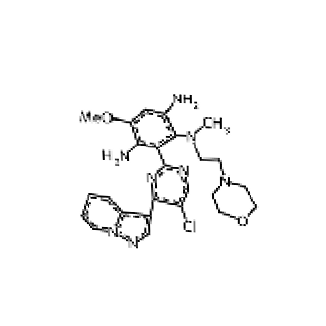 COc1cc(N)c(N(C)CCN2CCOCC2)c(-c2ncc(Cl)c(-c3cnn4ccccc34)n2)c1N